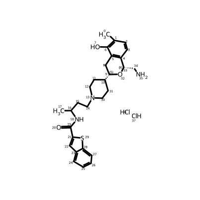 Cc1ccc2c(c1O)C[C@@H](C1CCN(CCC(C)NC(=O)c3cc4ccccc4s3)CC1)O[C@H]2CN.Cl.Cl